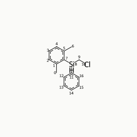 Cc1cccc(C)c1[SiH](CCl)c1ccccc1